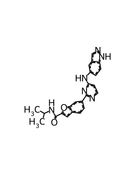 CC(C)NC(=O)c1cc2ccc(-c3nccc(Nc4ccc5[nH]ncc5c4)n3)cc2o1